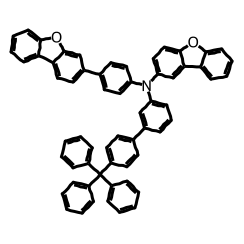 c1ccc(C(c2ccccc2)(c2ccccc2)c2ccc(-c3cccc(N(c4ccc(-c5ccc6c(c5)oc5ccccc56)cc4)c4ccc5oc6ccccc6c5c4)c3)cc2)cc1